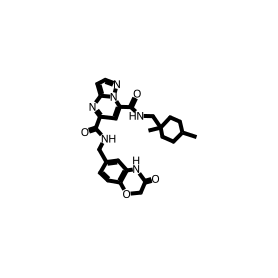 CC1CCC(C)(CNC(=O)c2cc(C(=O)NCc3ccc4c(c3)NC(=O)CO4)nc3ccnn23)CC1